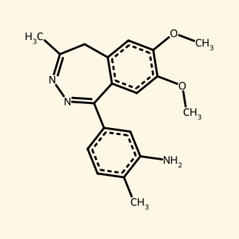 COc1cc2c(cc1OC)C(c1ccc(C)c(N)c1)=NN=C(C)C2